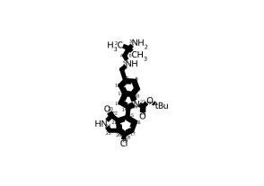 CC(C)(N)CNCc1ccc2c(c1)cc(-c1ccc(Cl)c3c1C(=O)NC3)n2C(=O)OC(C)(C)C